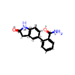 NC(=O)c1ccccc1-c1ccc2c(c1)CC(=O)N2